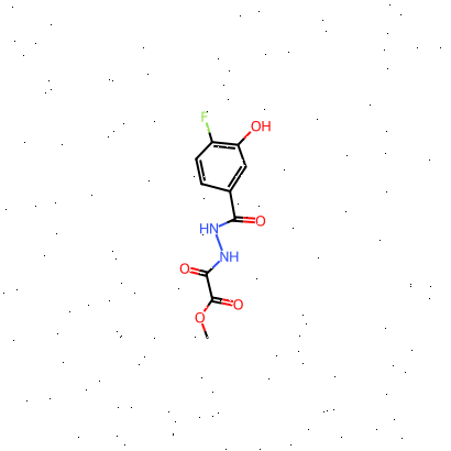 COC(=O)C(=O)NNC(=O)c1ccc(F)c(O)c1